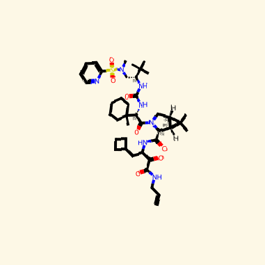 C=CCNC(=O)C(=O)C(CC1CCC1)NC(=O)[C@@H]1[C@@H]2[C@H](CN1C(=O)[C@@H](NC(=O)N[C@H](CN(C)S(=O)(=O)c1ccccn1)C(C)(C)C)C1(C)CCCCC1)C2(C)C